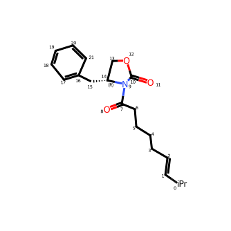 CC(C)C=CCCCCC(=O)N1C(=O)OC[C@H]1Cc1ccccc1